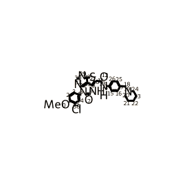 COc1ccc(N2C(=O)Nc3c(C(=O)Nc4ccc(CN5CCCCC5)cc4)sc4ncnc2c34)cc1Cl